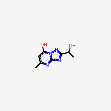 Cc1cc(O)n2nc(C(C)O)nc2n1